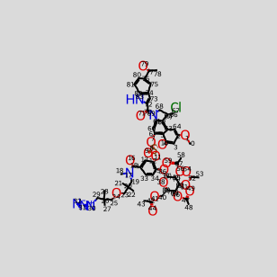 COc1ccc2c(OS(=O)(=O)Oc3cc(C(=O)N(C)CC(C)(C)COCC(C)(C)CN=[N+]=[N-])ccc3O[C@@H]3O[C@H](COC(C)=O)[C@@H](OC(C)=O)[C@H](OC(C)=O)[C@H]3OC(C)=O)cc3c(c2c1)[C@H](CCl)CN3C(=O)c1cc2cc(C(C)=O)ccc2[nH]1